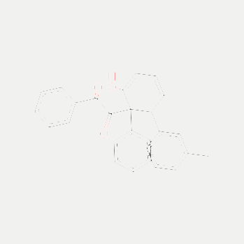 Cc1cccc(C2C=CC=C(O)C2(C(=O)C(=O)c2ccccc2)c2ccccc2)c1